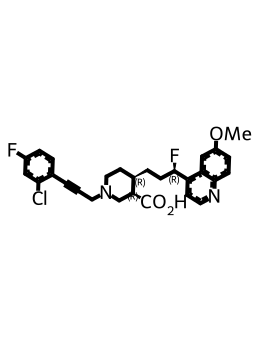 COc1ccc2nccc([C@H](F)CC[C@@H]3CCN(CC#Cc4ccc(F)cc4Cl)C[C@@H]3C(=O)O)c2c1